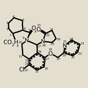 O=C(O)C1CCCCC1C(=O)N1CCc2c(Cl)ccc(OCc3ccccn3)c2C1N1CCCC1=O